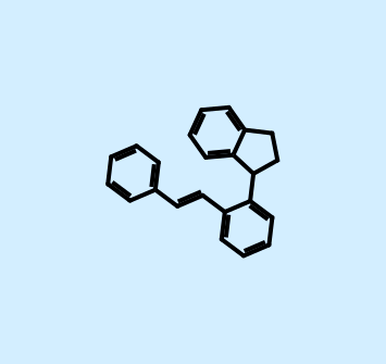 C(=Cc1ccccc1C1CCc2ccccc21)c1ccccc1